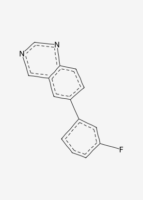 Fc1cccc(-c2ccc3ncncc3c2)c1